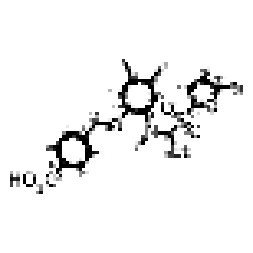 CCC(N(C)c1cc(C)c(C)cc1OCc1ccc(C(=O)O)cc1)S(=O)(=O)c1ccc(C)o1